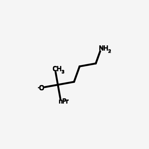 CCCC(C)([O])CCCN